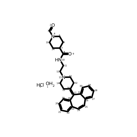 Cl.O.O=CN1CCC(C(=O)NCCN2CCC(=C3c4ccccc4C=Cc4ccccc43)CC2)CC1